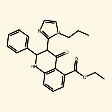 CCCn1ccnc1C1C(=O)c2c(cccc2C(=O)OCC)NC1c1ccccc1